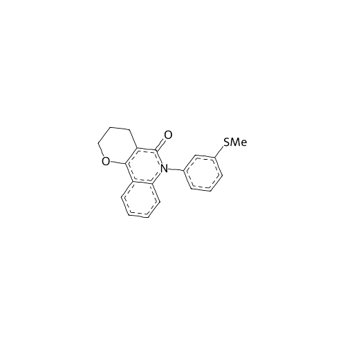 CSc1cccc(-n2c(=O)c3c(c4ccccc42)OCCC3)c1